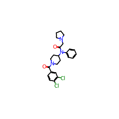 O=C(c1ccc(Cl)c(Cl)c1)N1CCC(N(C(=O)CN2CCCC2)c2ccccc2)CC1